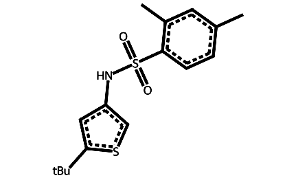 Cc1ccc(S(=O)(=O)Nc2csc(C(C)(C)C)c2)c(C)c1